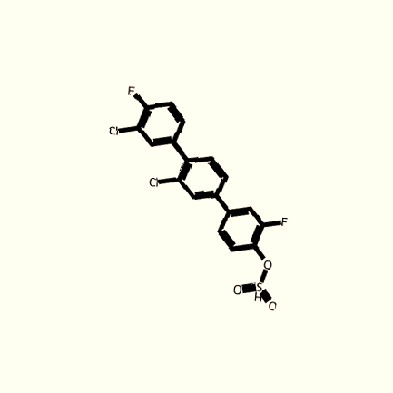 O=[SH](=O)Oc1ccc(-c2ccc(-c3ccc(F)c(Cl)c3)c(Cl)c2)cc1F